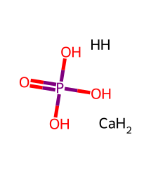 O=P(O)(O)O.[CaH2].[HH]